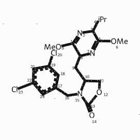 COC1=NC(C(C)C)C(OC)=NC1CC1COC(=O)N1Cc1cc(Cl)cc(Cl)c1